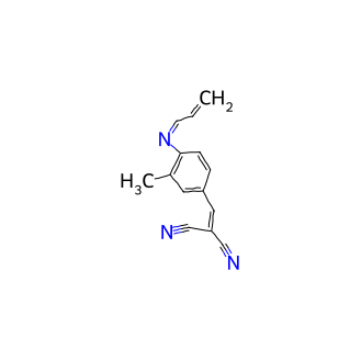 C=C/C=N\c1ccc(C=C(C#N)C#N)cc1C